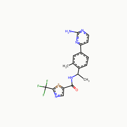 Cc1cc(-c2ccnc(N)n2)ccc1C(C)NC(=O)c1cnc(C(F)(F)F)s1